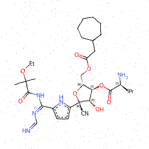 CCOC(C)(C)C(=O)N/C(=N/C=N)c1ccc([C@]2(C#N)O[C@H](COC(=O)CC3CCCCCC3)[C@@H](OC(=O)[C@@H](N)C(C)C)[C@H]2O)[nH]1